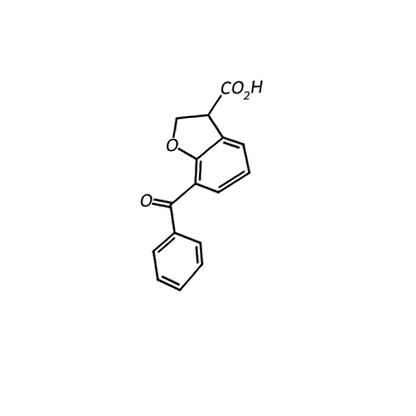 O=C(c1ccccc1)c1cccc2c1OCC2C(=O)O